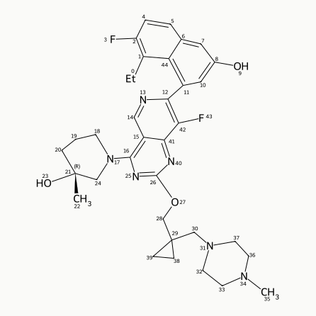 CCc1c(F)ccc2cc(O)cc(-c3ncc4c(N5CCC[C@@](C)(O)C5)nc(OCC5(CN6CCN(C)CC6)CC5)nc4c3F)c12